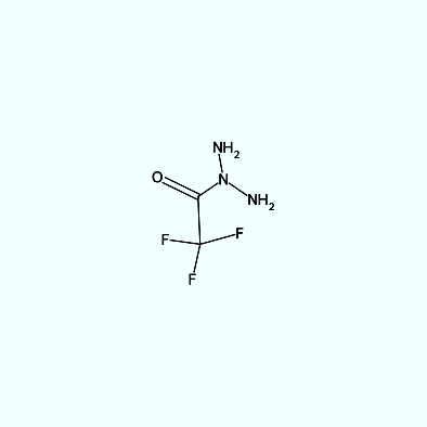 NN(N)C(=O)C(F)(F)F